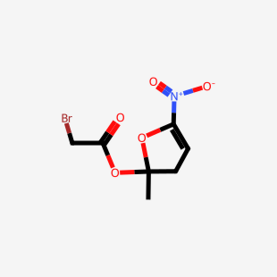 CC1(OC(=O)CBr)CC=C([N+](=O)[O-])O1